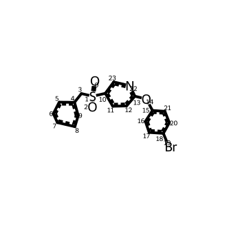 O=S(=O)(Cc1ccccc1)c1ccc(Oc2ccc(Br)cc2)nc1